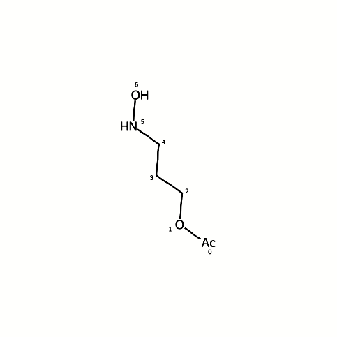 CC(=O)OCCCNO